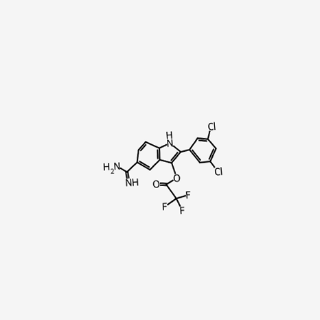 N=C(N)c1ccc2[nH]c(-c3cc(Cl)cc(Cl)c3)c(OC(=O)C(F)(F)F)c2c1